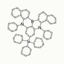 c1ccc(N2c3cc([Si](c4ccccc4)(c4ccccc4)c4ccccc4)cc4c3B(c3ccc5ccccc5c32)c2ccc3ccccc3c2N4c2ccccc2)cc1